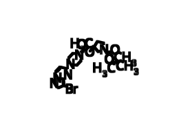 CC(C)(C)OC(=O)N1CCC(C)(OC(=O)N2CCN(c3ccn4ncc(Br)c4n3)CC2)C1